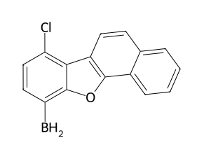 Bc1ccc(Cl)c2c1oc1c3ccccc3ccc12